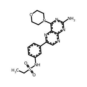 CCS(=O)(=O)Nc1cccc(-c2cnc3nc(N)nc(N4CCOCC4)c3n2)c1